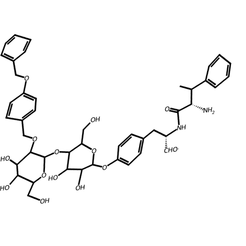 CC(c1ccccc1)[C@H](N)C(=O)N[C@H]([C]=O)Cc1ccc(OC2OC(CO)C(OC3OC(CO)C(O)C(O)C3OCc3ccc(OCc4ccccc4)cc3)C(O)C2O)cc1